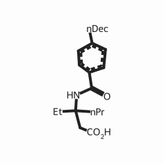 CCCCCCCCCCc1ccc(C(=O)NC(CC)(CCC)CC(=O)O)cc1